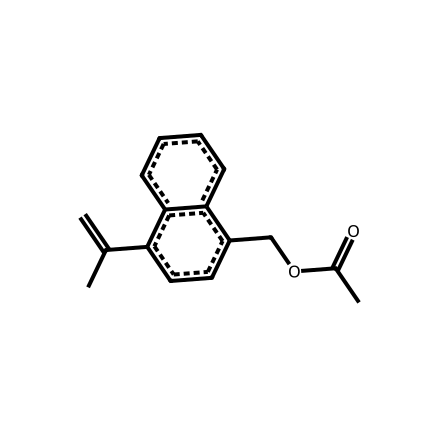 C=C(C)c1ccc(COC(C)=O)c2ccccc12